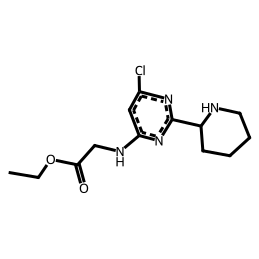 CCOC(=O)CNc1cc(Cl)nc(C2CCCCN2)n1